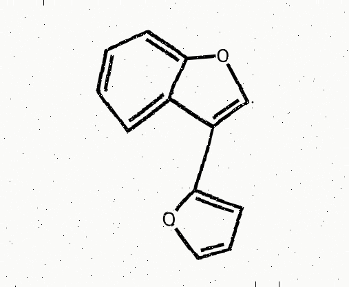 [c]1oc2ccccc2c1-c1ccco1